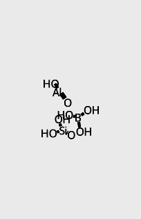 O=[Si](O)O.OB(O)O.[O]=[Al][OH]